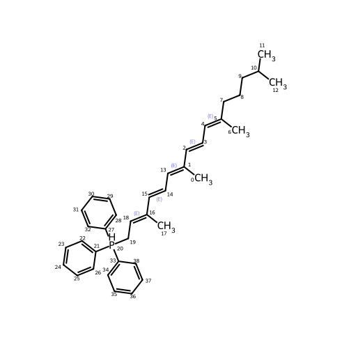 CC(/C=C/C=C(\C)CCCC(C)C)=C\C=C\C(C)=C\C[PH](c1ccccc1)(c1ccccc1)c1ccccc1